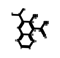 CC(C)c1cc2nccnc2c(C(=O)O)c1O